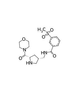 CS(=O)(=O)c1cccc(C(=O)NC[C@@H]2CN[C@H](C(=O)N3CCOCC3)C2)c1